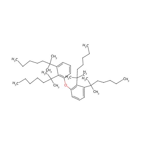 CCCCCC(C)(C)c1cccc(Oc2cccc(C(C)(C)CCCCC)c2C(C)(C)CCCCC)c1C(C)(C)CCCCC